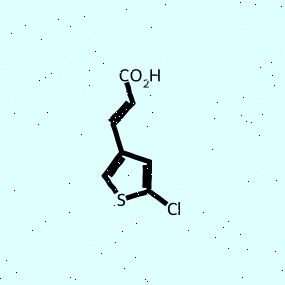 O=C(O)/C=C/c1csc(Cl)c1